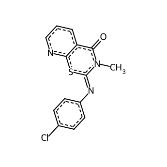 Cn1c(=O)c2cccnc2s/c1=N\c1ccc(Cl)cc1